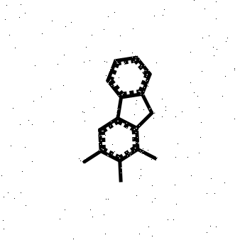 Cc1cc2c(c(C)c1C)[CH]c1ccccc1-2